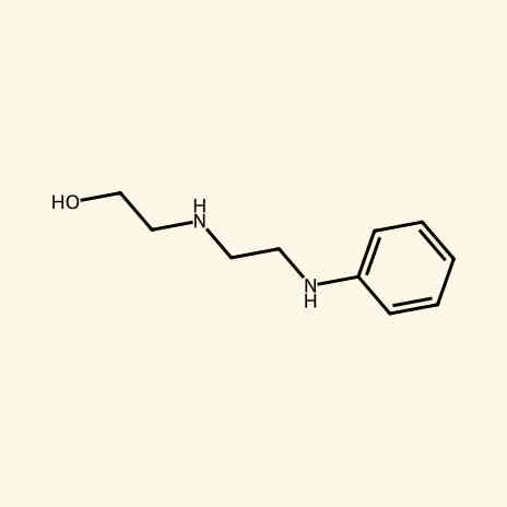 OCCNCCNc1ccccc1